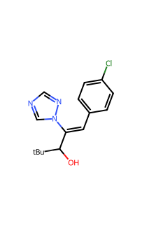 CC(C)(C)C(O)C(=Cc1ccc(Cl)cc1)n1cncn1